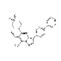 Nc1c(C=O)c(C2CCS(=O)(=O)CC2)nc2c(-c3ccc(-c4ccccc4)nc3)cnn12